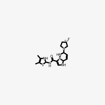 CC1=C(C)SC(NC(=O)C2=CNC3C=CC(N4CC[C@H](F)C4)NN23)N1